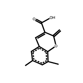 C=C1Oc2c(C)cc(C)cc2C=C1C(=O)O